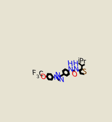 CC(C)CC(C)c1sccc1NC(=O)Nc1ccc(-c2ncn(-c3ccc(OC(F)(F)F)cc3)n2)cc1